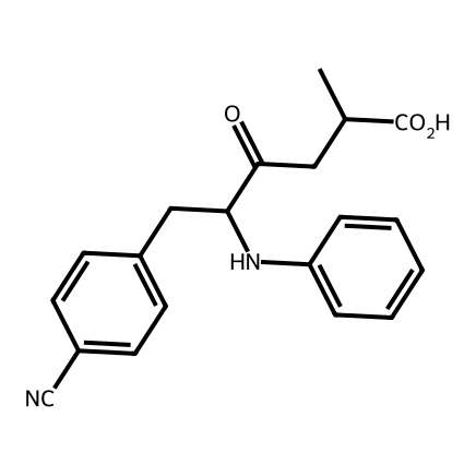 CC(CC(=O)C(Cc1ccc(C#N)cc1)Nc1ccccc1)C(=O)O